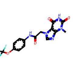 Cn1c(=O)[nH]c(=O)c2c1ncn2CC(=O)Nc1ccc(OC(F)(F)F)cc1